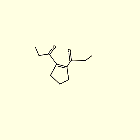 CCC(=O)C1=C(C(=O)CC)CCC1